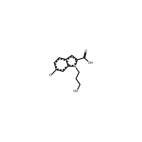 O=C(O)c1cc2ccc(Cl)cc2n1CCCO